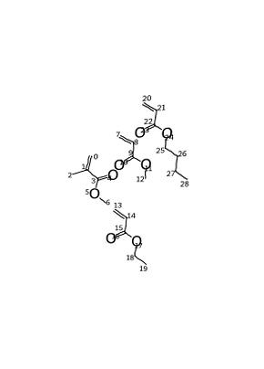 C=C(C)C(=O)OC.C=CC(=O)OC.C=CC(=O)OCC.C=CC(=O)OCCCC